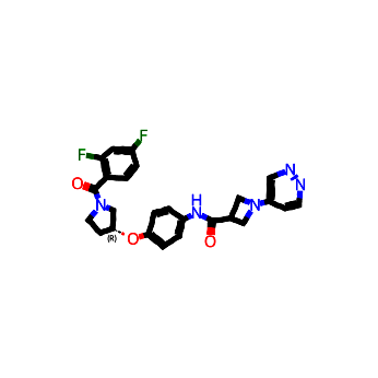 O=C(Nc1ccc(O[C@@H]2CCN(C(=O)c3ccc(F)cc3F)C2)cc1)C1CN(c2ccnnc2)C1